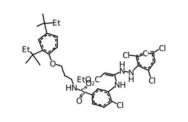 CCOC(=O)C=C(NNc1c(Cl)cc(Cl)cc1Cl)Nc1cc(S(=O)(=O)NCCCOc2ccc(C(C)(C)CC)cc2C(C)(C)CC)ccc1Cl